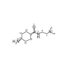 CN(C)CCNC(=O)[C@H]1CC[C@@H](N)CC1